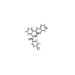 Clc1ccc(NC2=NNC(=Cc3ccncc3)c3ccccc32)cc1